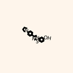 Oc1ccc2sc3nc(-c4ccc(N5CCCC5)cc4)cn3c2c1